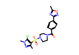 Cc1nc(-c2ccc(C(=O)N3CCN(S(=O)(=O)c4c(C)nn(C)c4Cl)CC3)cc2)no1